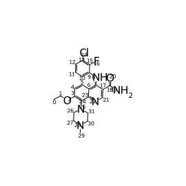 CCOc1ccc2c(Nc3cccc(Cl)c3F)c(C(N)=O)cnc2c1N1CCN(C)CC1